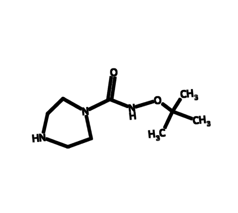 CC(C)(C)ONC(=O)N1CCNCC1